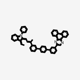 C\C=c1/c(=C\C=C(/C)c2cccc(-c3ccc(-c4cccc(-c5cnc6c7ccccc7c7ccccc7c6n5)c4)cc3)c2)n(-c2ccccc2)c2ccccc12